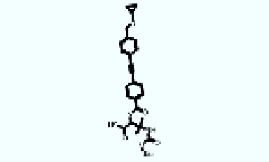 CC(C)(C)OC(=O)NC(C)(C)C(NC(=O)c1ccc(C#Cc2ccc(CNC3CC3)cc2)cc1)C(=O)S